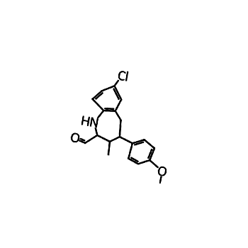 COc1ccc(C2Cc3cc(Cl)ccc3NC(C=O)C2C)cc1